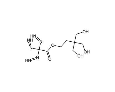 N=NC(N=N)(N=N)C(=O)OCCC(CO)(CO)CO